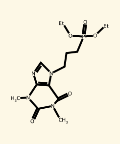 CCOP(=O)(CCCn1cnc2c1c(=O)n(C)c(=O)n2C)OCC